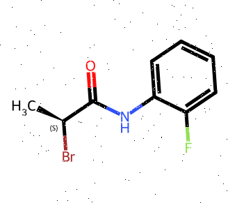 C[C@H](Br)C(=O)Nc1ccccc1F